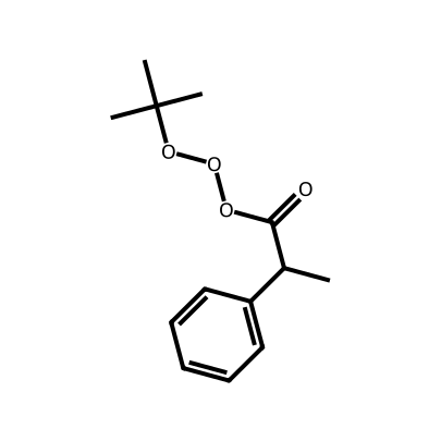 CC(C(=O)OOOC(C)(C)C)c1ccccc1